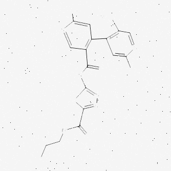 COc1cnc(Cl)cc1-c1cc(C)ncc1C(=O)Nc1nnc(C(=O)NCCO)s1